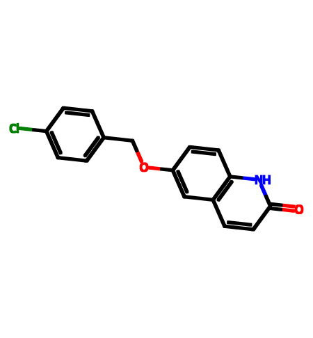 O=c1ccc2cc(OCc3ccc(Cl)cc3)ccc2[nH]1